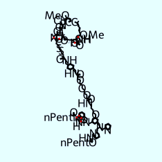 CCCCCC(=O)Nc1cccc(CN(Cc2cc(CN(Cc3ccccn3)Cc3cccc(NC(=O)CCCCC)n3)cc(OCCCCNC(=O)COCCOCCOCC(=O)NCc3ccc(CNC(=O)CCSSCCC(=O)N(C)[C@H](C)C(=O)O[C@@H]4CC(=O)N(C)c5cc(cc(OC)c5Cl)C/C(C)=C/C=C/[C@H](OC)[C@]5(O)C[C@H](OC(=O)N5)[C@H](C)C5O[C@@]54C)cc3)c2)Cc2ccccn2)n1